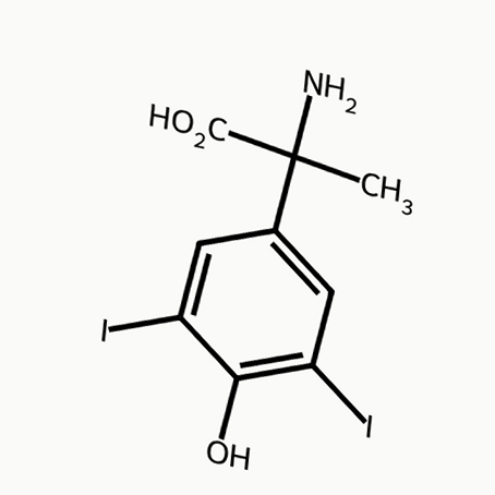 CC(N)(C(=O)O)c1cc(I)c(O)c(I)c1